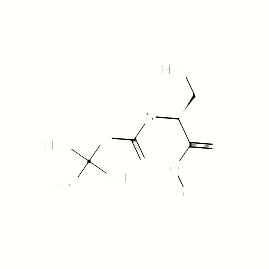 CC[C@H](NC(=O)OC(C)(C)C)C(=O)OC